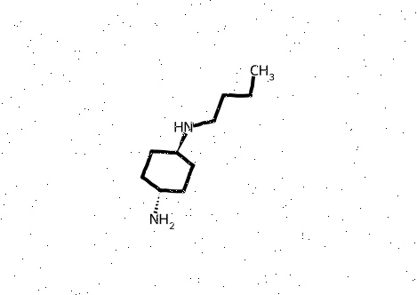 CCCCN[C@H]1CC[C@H](N)CC1